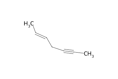 CC#CCC=CC